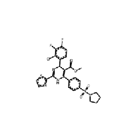 COC(=O)C1=C(c2ccc(S(=O)(=O)N3CCCC3)cc2)NC(c2nccs2)=NC1c1ccc(F)c(F)c1Cl